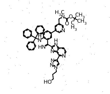 CN(Cc1cncc(-c2ccc(NC(c3ccccc3)(c3ccccc3)c3ccccc3)c(C(=N)c3nc4c(-c5cn(CCCO)nn5)nccc4[nH]3)c2)c1)C(=O)OC(C)(C)C